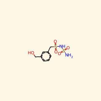 NS(=O)(=O)NS(=O)(=O)Cc1cccc(CO)c1